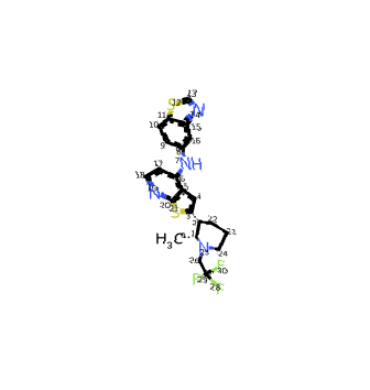 C[C@@H]1[C@H](c2cc3c(Nc4ccc5scnc5c4)ccnc3s2)CCCN1CC(F)(F)F